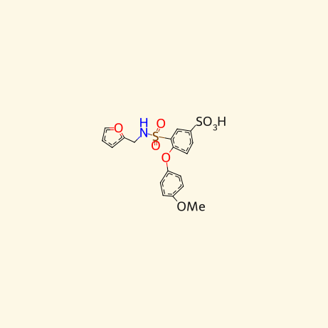 COc1ccc(Oc2ccc(S(=O)(=O)O)cc2S(=O)(=O)NCc2ccco2)cc1